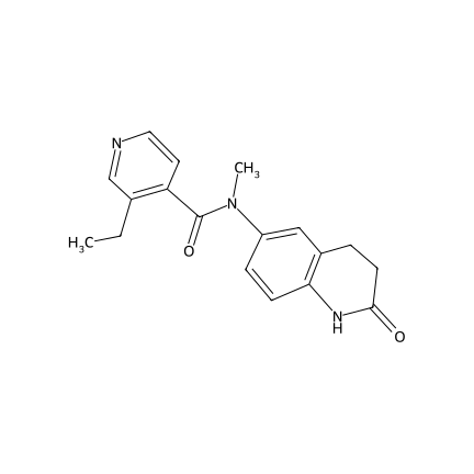 CCc1cnccc1C(=O)N(C)c1ccc2c(c1)CCC(=O)N2